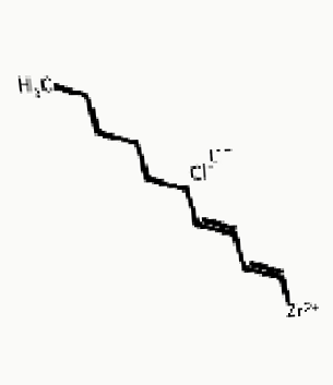 CCCCCCC=CC=[CH][Zr+2].[Cl-].[Cl-]